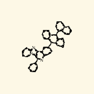 c1ccc(-c2nc3ccc(-c4c5ccccc5c(-c5cccc6ccccc56)c5ccccc45)cc3c3nc4ccccn4c23)cc1